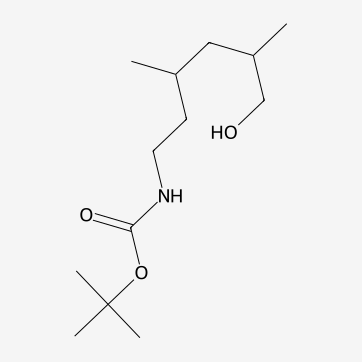 CC(CO)CC(C)CCNC(=O)OC(C)(C)C